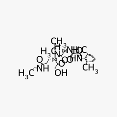 CCNC(=O)CC[C@H](NC(=O)[C@H](CC(C)C)NC(=O)C(=O)Nc1c(C)cccc1C)C(=O)CO